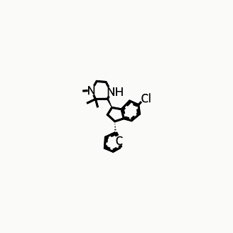 CN1CCNC([C@@H]2C[C@@H](c3ccccc3)c3ccc(Cl)cc32)C1(C)C